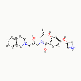 CC1CN(C[C@H](O)CN2CCc3ccccc3C2)C(=O)c2ccc(OC3CNC3)cc2O1